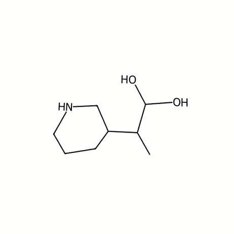 CC(C(O)O)C1CCCNC1